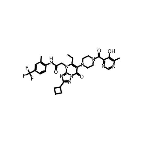 CCc1c(N2CCN(C(=O)c3ncnc(C)c3O)CC2)c(=O)n2nc(C3CCC3)nc2n1CC(=O)Nc1ccc(C(F)(F)F)cc1C